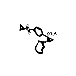 O=C(O)[C@]1(c2ccc(S(=O)(=O)C3CC3)cc2)C[C@H]1C1CCCCC1